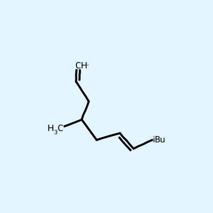 [CH]=CCC(C)CC=CC(C)CC